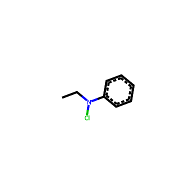 CCN(Cl)c1ccccc1